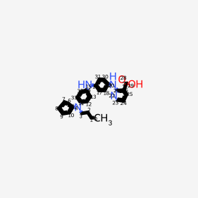 CCCCN(c1ccccc1)c1ccc(Nc2ccc(Nc3ncccc3C(=O)O)cc2)cc1